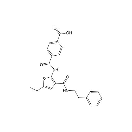 CCc1cc(C(=O)NCCc2ccccc2)c(NC(=O)c2ccc(C(=O)O)cc2)s1